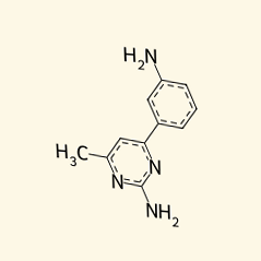 Cc1cc(-c2cccc(N)c2)nc(N)n1